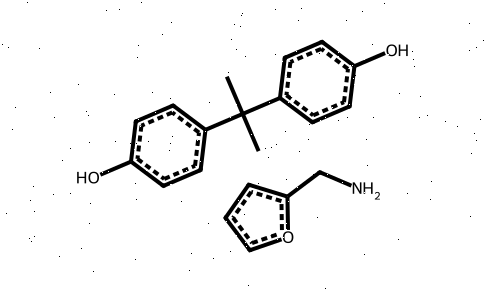 CC(C)(c1ccc(O)cc1)c1ccc(O)cc1.NCc1ccco1